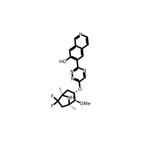 CO[C@@H]1[C@@H](Oc2cnc(-c3cc4ccncc4cc3O)nn2)C[C@@]2(C)N[C@]1(C)CC2(F)F